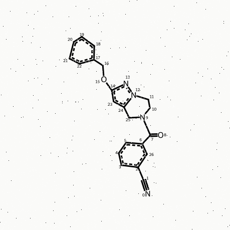 N#Cc1cccc(C(=O)N2CCn3nc(OCc4ccccc4)cc3C2)c1